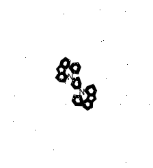 c1ccc(N(c2ccc(N(c3ccccc3)c3cccc4c3-c3ccccc3C4)cc2)c2cccc3c2-c2ccccc2C3)cc1